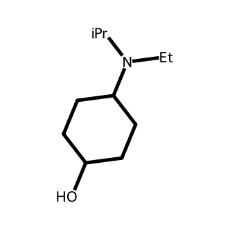 CCN(C(C)C)C1CCC(O)CC1